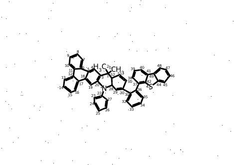 CC1(C)c2cc3c4ccccc4c4ccccc4c3cc2N(c2ccccc2)C2C=C(c3ccccc3-c3cccc4c3sc3ccccc34)C=CC21